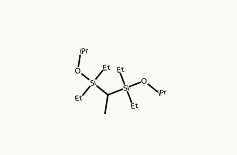 CC[Si](CC)(OC(C)C)C(C)[Si](CC)(CC)OC(C)C